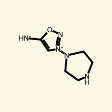 [NH-]c1c[n+](N2CCNCC2)no1